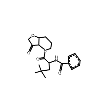 CC(C)(C)CC(NC(=O)c1ccccc1)C(=O)N1CCCC2OCC(=O)C21